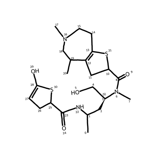 CC(C[C@@H](CO)N(C)C(=O)C1CC2=C(CCN(C)CC2C)S1)NC(=O)C1CC=C(O)S1